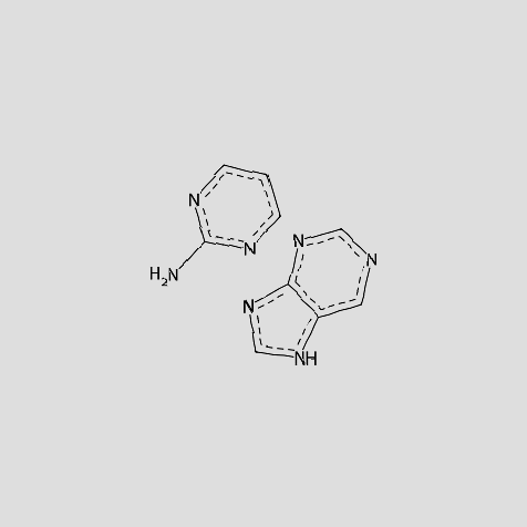 Nc1ncccn1.c1ncc2[nH]cnc2n1